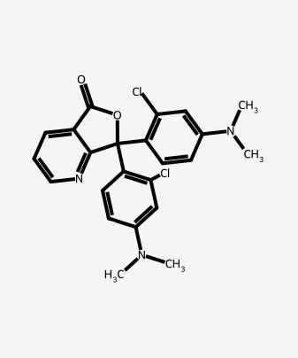 CN(C)c1ccc(C2(c3ccc(N(C)C)cc3Cl)OC(=O)c3cccnc32)c(Cl)c1